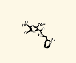 CCNc1nc(OC)c(C(=O)NCC2C=CC=CN2CC)nc1Cl